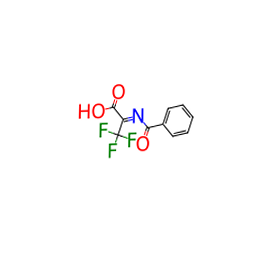 O=C(O)/C(=N/C(=O)c1ccccc1)C(F)(F)F